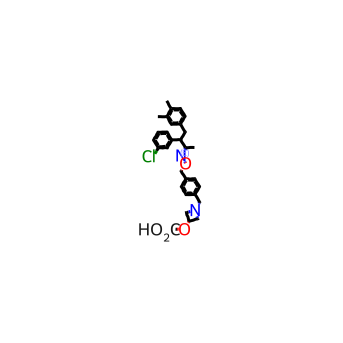 C/C(=N\OCc1ccc(CN2CC(OC(=O)O)C2)cc1)C(Cc1ccc(C)c(C)c1)c1cccc(Cl)c1